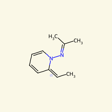 C/C=C1/C=CC=CN1N=C(C)C